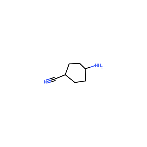 N#CC1CCC(N)CC1